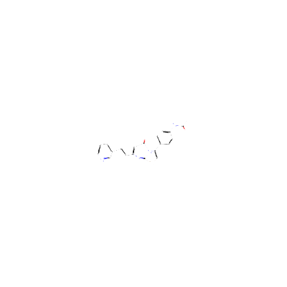 CC(=O)Nc1ccc(-c2csc3nc(/C=C/c4cccnc4)cc(=O)n23)cc1